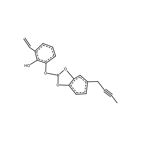 C=Cc1cccc(OB2Oc3ccc(CC#CC)cc3O2)c1O